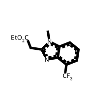 CCOC(=O)Cc1nc2c(C(F)(F)F)cccc2n1C